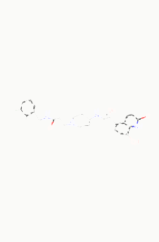 Cc1c(Cl)cccc1CNC(=O)CCN1CCC(NC[C@H](O)c2ccc(O)c3[nH]c(=O)ccc23)CC1